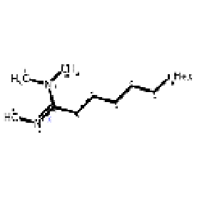 CCCCCCCCCCC/C(=N/O)N(C)C